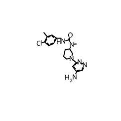 Cc1cc(CNC(=O)N(C)[C@@H]2CCCN(c3cc(N)cnn3)C2)ccc1Cl